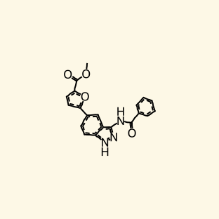 COC(=O)c1ccc(-c2ccc3[nH]nc(NC(=O)c4ccccc4)c3c2)o1